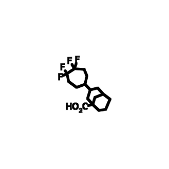 O=C(O)C12CCCC(CC(C3CCC(F)(F)C(F)(F)CC3)C1)C2